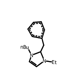 CCCCN1C=CN(CC)C1Cc1ccccc1